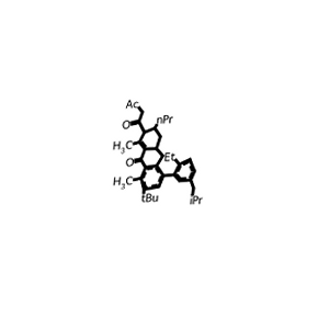 CCCC1CC2Cc3c(-c4cc(CC(C)C)ccc4CC)cc(C(C)(C)C)c(C)c3C(=O)C2=C(C)C1C(=O)CC(C)=O